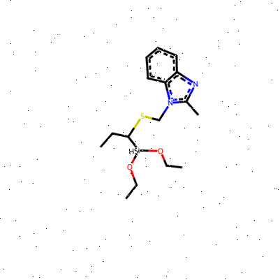 CCO[SiH](OCC)C(CC)SCn1c(C)nc2ccccc21